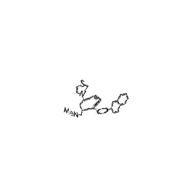 CNCc1cc(N2C=CSC2)ccc1Oc1ccc2ccccc2c1